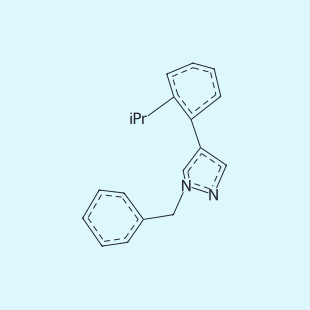 CC(C)c1ccccc1-c1cnn(Cc2ccccc2)c1